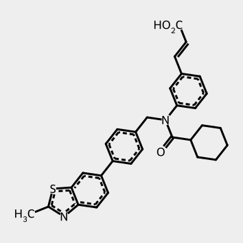 Cc1nc2ccc(-c3ccc(CN(C(=O)C4CCCCC4)c4cccc(/C=C/C(=O)O)c4)cc3)cc2s1